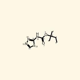 CCC(C)(C)OC(=O)Nc1nn[c]s1